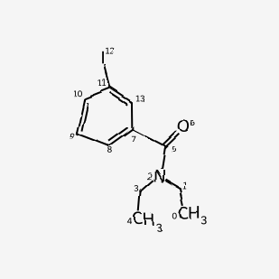 CCN(CC)C(=O)c1cccc(I)c1